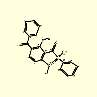 COc1ccc(C(=O)c2ccccc2)c(OC)c1C(=O)P(=O)(O)c1ccccc1